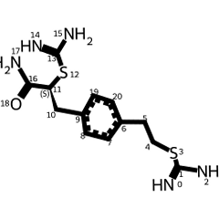 N=C(N)SCCc1ccc(C[C@H](SC(=N)N)C(N)=O)cc1